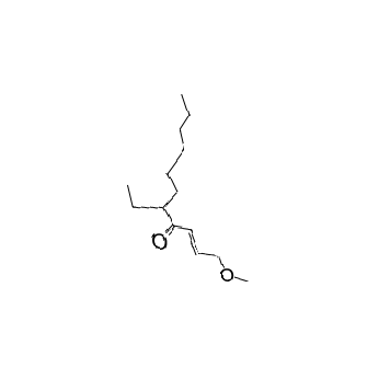 CCCCCCC(CC)C(=O)/C=C/COC